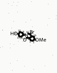 COc1ccc2c(=O)n(-c3ccc(O)cc3)cc(Br)c2c1